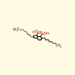 CCCCCCCCc1cc(C(=O)O)c2c(C(=O)O)c(CCCCCCCC)ccc2c1